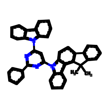 CC1(C)c2ccccc2-c2ccc3c(c21)c1ccccc1n3-c1cc(-n2c3ccccc3c3ccccc32)nc(-c2ccccc2)n1